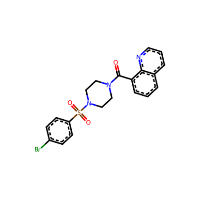 O=C(c1cccc2cccnc12)N1CCN(S(=O)(=O)c2ccc(Br)cc2)CC1